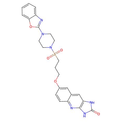 O=c1[nH]c2cc3cc(OCCCS(=O)(=O)N4CCN(c5nc6ccccc6o5)CC4)ccc3nc2[nH]1